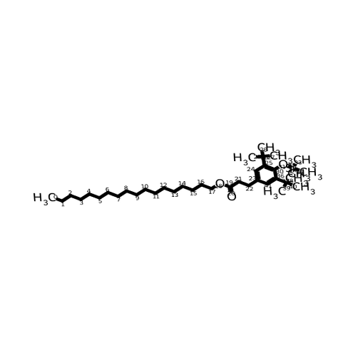 CCCCCCCCCCCCCCCCCCOC(=O)CCc1cc(C(C)(C)C)c(O[Si](C)(C)C)c(C(C)(C)C)c1